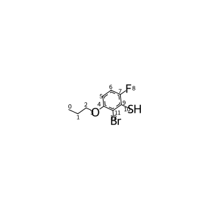 CCCOc1ccc(F)c(S)c1Br